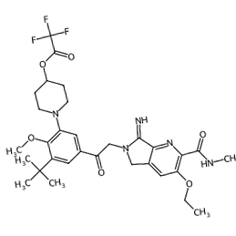 CCOc1cc2c(nc1C(=O)NC)C(=N)N(CC(=O)c1cc(N3CCC(OC(=O)C(F)(F)F)CC3)c(OC)c(C(C)(C)C)c1)C2